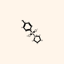 [CH2]c1ccc(S(=O)(=O)N2CCCC2)cc1